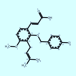 COc1ccc(C=CC(=O)O)c(OCc2ccc(Cl)cc2)c1CC=C(C)C